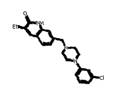 CCc1cc2ccc(CN3CCN(c4cccc(Cl)c4)CC3)cc2[nH]c1=O